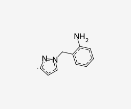 Nc1ccccc1Cn1cc[c]n1